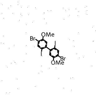 COc1cc(-c2cc(OC)c(Br)cc2I)c(I)cc1Br